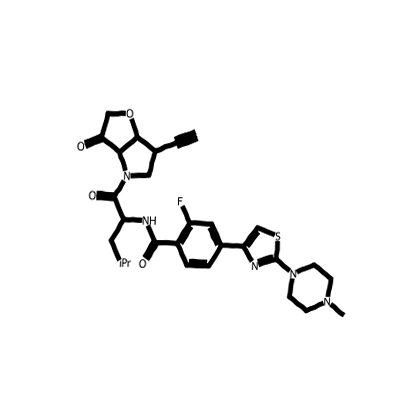 C#CC1CN(C(=O)C(CC(C)C)NC(=O)c2ccc(-c3csc(N4CCN(C)CC4)n3)cc2F)C2C(=O)COC12